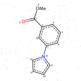 COC(=O)c1cccc(-n2c[c]cc2)c1